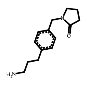 NCCCc1ccc(CN2CCCC2=O)cc1